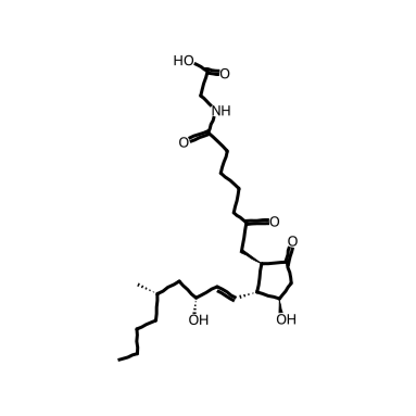 CCCC[C@H](C)C[C@@H](O)/C=C/[C@H]1[C@H](O)CC(=O)[C@@H]1CC(=O)CCCCC(=O)NCC(=O)O